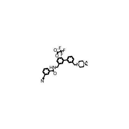 C[N+]1(C)CCN(Cc2cccc(-c3cccc(CNC(=O)c4cccc(C#N)c4)c3)c2)CC1.O=C([O-])C(F)(F)F